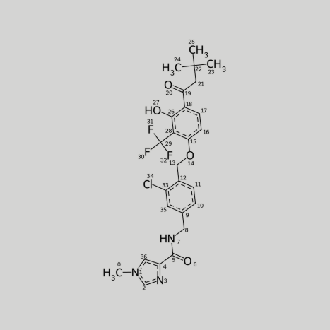 Cn1cnc(C(=O)NCc2ccc(COc3ccc(C(=O)CC(C)(C)C)c(O)c3C(F)(F)F)c(Cl)c2)c1